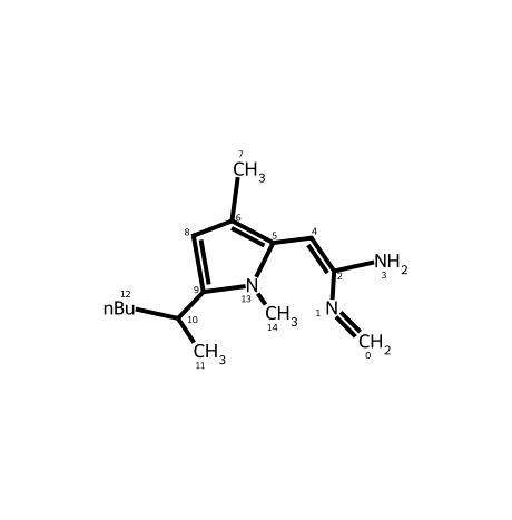 C=N/C(N)=C\c1c(C)cc(C(C)CCCC)n1C